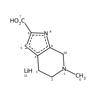 CN1CCc2sc(C(=O)O)nc2C1.[LiH]